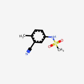 Cc1ccc(NS(C)(=O)=O)cc1C#N